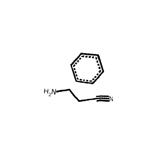 N#CCCN.c1ccccc1